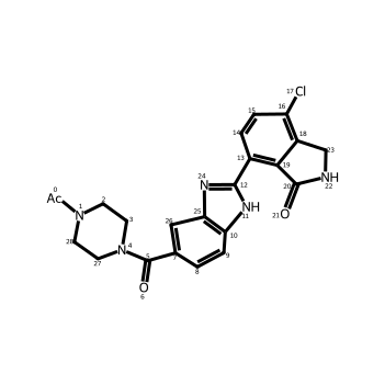 CC(=O)N1CCN(C(=O)c2ccc3[nH]c(-c4ccc(Cl)c5c4C(=O)NC5)nc3c2)CC1